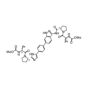 COC(=O)N[C@H](C(=O)N1CCC[C@H]1C(=O)Nc1n[nH]c2cc(-c3ccc(-c4cnc([C@@H]5CCCN5C(=O)[C@@H](NC(=O)OC)C(C)C)[nH]4)cc3)ccc12)C(C)C